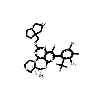 Cc1c(F)c(N)cc(-c2nc3c4c(nc(OCC56CCCN5C[C@H](F)C6)nc4c2F)N2CCNC[C@@H]2[C@@H](C)O3)c1C(F)(F)F